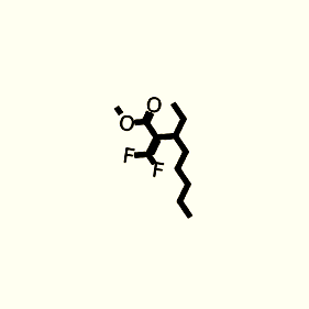 CCCCCC(CC)C(C(=O)OC)=C(F)F